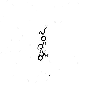 CCCCC(=O)c1ccc(OC2CCOC(OCc3ccccc3B(OC)OC)C2)cc1